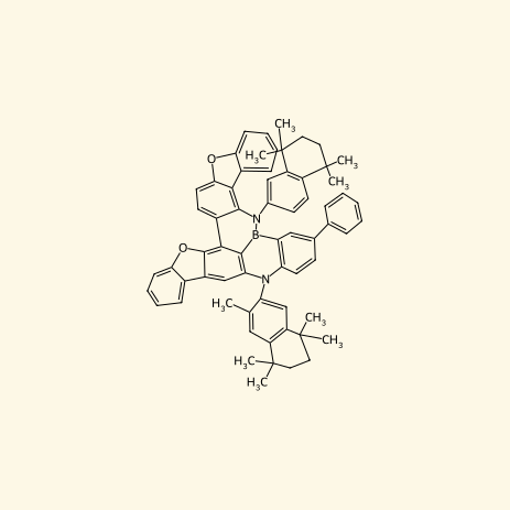 Cc1cc2c(cc1N1c3ccc(-c4ccccc4)cc3B3c4c1cc1c(oc5ccccc51)c4-c1ccc4oc5ccccc5c4c1N3c1ccc3c(c1)C(C)(C)CCC3(C)C)C(C)(C)CCC2(C)C